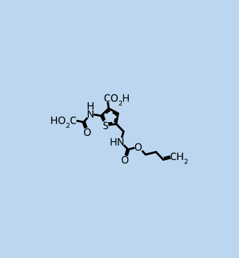 C=CCCOC(=O)NCc1cc(C(=O)O)c(NC(=O)C(=O)O)s1